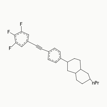 CCCC1CCC2CC(c3ccc(C#Cc4cc(F)c(F)c(F)c4)cc3)CCC2C1